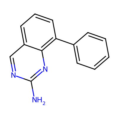 Nc1ncc2cccc(-c3ccccc3)c2n1